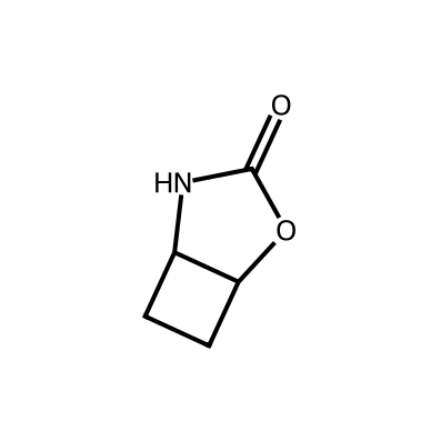 O=C1NC2CCC2O1